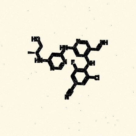 C[C@H](CO)Nc1cc(Nc2cc(Nc3c(F)cc(C#N)cc3Cl)c(C=N)cn2)ncn1